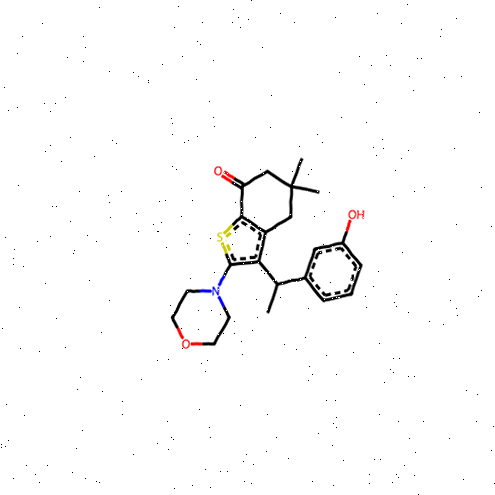 CC(c1cccc(O)c1)c1c(N2CCOCC2)sc2c1CC(C)(C)CC2=O